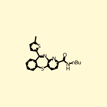 CCCCNC(=O)c1ccc2c(n1)N=C(c1ccc(C)s1)c1ccccc1S2